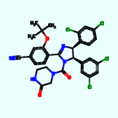 CC(C)(C)Oc1cc(C#N)ccc1C1=N[C@@H](c2ccc(Cl)cc2Cl)[C@@H](c2cc(Cl)cc(Cl)c2)N1C(=O)N1CCNC(=O)C1